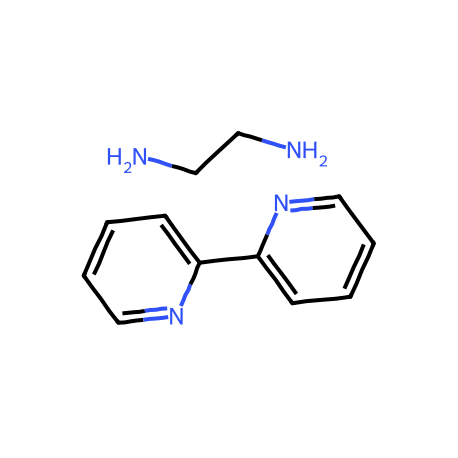 NCCN.c1ccc(-c2ccccn2)nc1